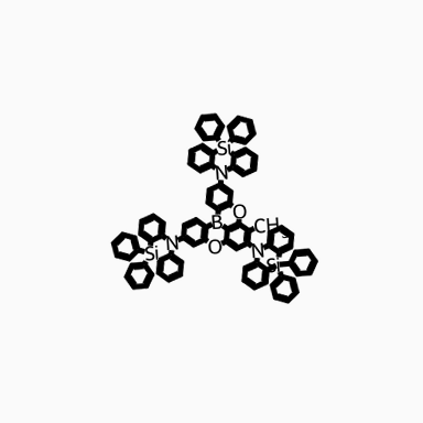 Cc1c(N2c3ccccc3[Si](c3ccccc3)(c3ccccc3)c3ccccc32)cc2c3c1Oc1cc(N4c5ccccc5[Si](c5ccccc5)(c5ccccc5)c5ccccc54)ccc1B3c1ccc(N3c4ccccc4[Si](c4ccccc4)(c4ccccc4)c4ccccc43)cc1O2